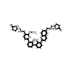 COc1nc(-c2cccc(-c3cccc(-c4ccc5cc(CNC[C@H]6CCC(=O)N6)ccc5n4)c3Cl)c2Cl)ccc1CNC[C@@H]1CCC(=O)N1